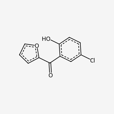 O=C(c1ccco1)c1cc(Cl)ccc1O